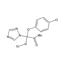 CCOC(Oc1ccc(Cl)cc1)(C(=O)C(C)(C)C)n1cncn1